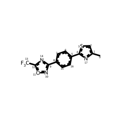 Cc1csc(-c2ccc(-c3noc(C(F)(F)F)n3)cc2)n1